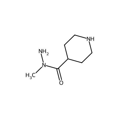 CN(N)C(=O)C1CCNCC1